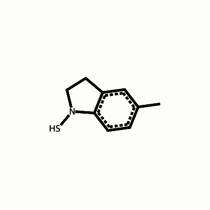 Cc1ccc2c(c1)CCN2S